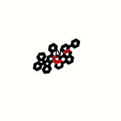 c1ccc(-c2ccc(N(c3ccccc3-c3ccc4c(c3)C(c3ccccc3)(c3ccccc3)c3ccccc3-4)c3ccccc3-c3cccc4cccc(C5CCCCC5)c34)cc2)cc1